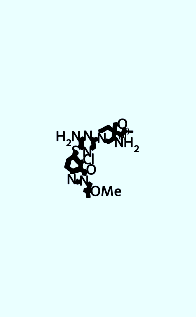 COC(C)(C)Cn1cnc2ccc(Sc3ncc(N4CCC5(CC4)CO[C@@H](C)[C@H]5N)nc3N)c(Cl)c2c1=O